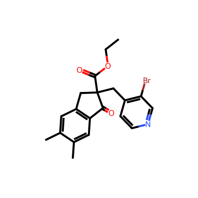 CCOC(=O)C1(Cc2ccncc2Br)Cc2cc(C)c(C)cc2C1=O